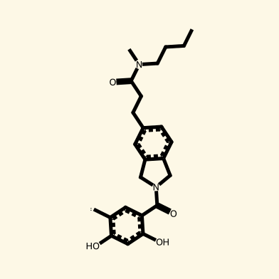 [CH]c1cc(C(=O)N2Cc3ccc(CCC(=O)N(C)CCCC)cc3C2)c(O)cc1O